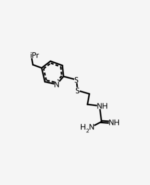 CC(C)Cc1ccc(SSCCNC(=N)N)nc1